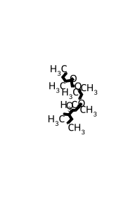 CCCC(C)C(=O)COC(C)(C)CCOC(C)(C)CC(=O)C(CC)CCC